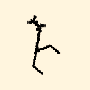 CCCCCCCC/C=C\CCCCCCCCOCC(COCCOCCOCCOCCOC(=O)CN(CCOC(=O)CN(CCOC)B(C)O)B(C)O)OCCCCCCCC/C=C\CCCCCCCC